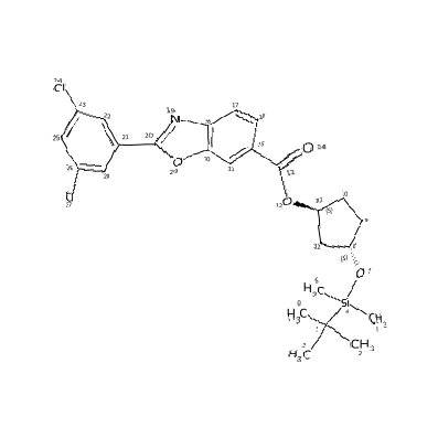 CC(C)(C)[Si](C)(C)O[C@H]1CC[C@H](OC(=O)c2ccc3nc(-c4cc(Cl)cc(Cl)c4)oc3c2)C1